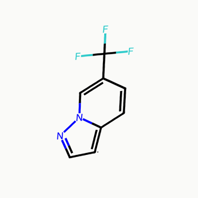 FC(F)(F)c1ccc2[c]cnn2c1